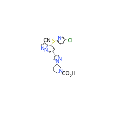 N#Cc1cnn2cc(-c3cnn([C@H]4CCCN(C(=O)O)C4)c3)cc(Sc3ccc(Cl)cn3)c12